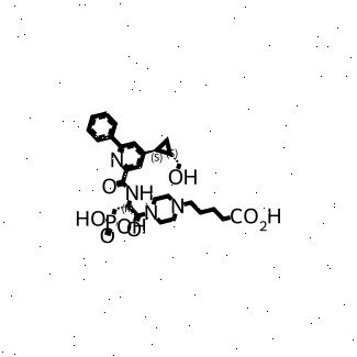 O=C(O)CCCCN1CCN(C(=O)[C@H](CP(=O)(O)O)NC(=O)c2cc([C@H]3C[C@@H]3CO)cc(-c3ccccc3)n2)CC1